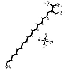 CCCCCCCCCCCCCCCCSCC(CO)C(C)C.O=P(O)(O)O